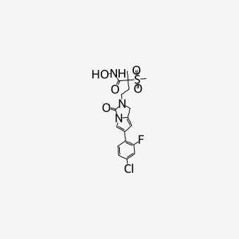 CC(CCN1Cc2cc(-c3ccc(Cl)cc3F)cn2C1=O)(C(=O)NO)S(C)(=O)=O